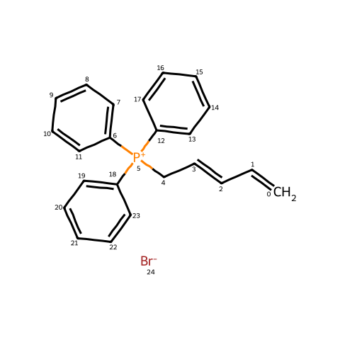 C=CC=CC[P+](c1ccccc1)(c1ccccc1)c1ccccc1.[Br-]